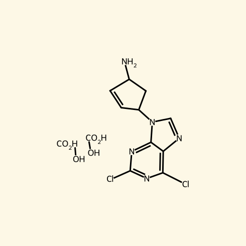 NC1C=CC(n2cnc3c(Cl)nc(Cl)nc32)C1.O=C(O)O.O=C(O)O